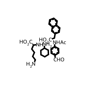 CC(=O)Nc1ccc(C=O)cc1.NC1CCCCC1.NCCCC[C@H](N)C(=O)O.O=C(O)Cc1ccc2ccccc2c1